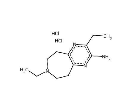 CCc1nc2c(nc1N)CCN(CC)CC2.Cl.Cl